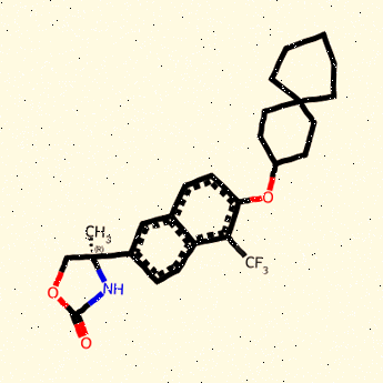 C[C@@]1(c2ccc3c(C(F)(F)F)c(OC4CCC5(CCCCC5)CC4)ccc3c2)COC(=O)N1